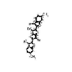 Cc1ccc2c(Br)c(-c3sc4c(Br)c(-c5oc6cc(C)ccc6c5Br)sc4c3Br)oc2c1